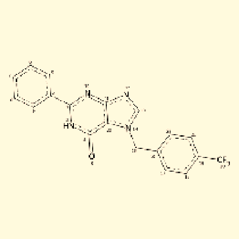 O=c1[nH]c(-c2ccccc2)nc2ncn(Cc3ccc(C(F)(F)F)cc3)c12